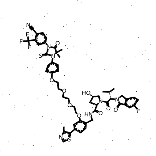 Cc1ncsc1-c1ccc(CNC(=O)C2C[C@@H](O)CN2C(=O)[C@H](C(C)C)N2Cc3ccc(F)cc3C2=O)c(OCCOCCOCCOc2ccc(N3C(=S)N(c4ccc(C#N)c(C(F)(F)F)c4)C(=O)C3(C)C)cc2)c1